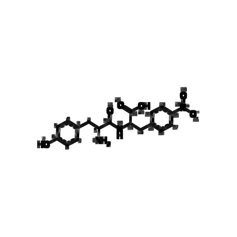 NC(Cc1ccc(O)cc1)C(=O)NC(Cc1ccc([N+](=O)[O-])cc1)C(=O)O